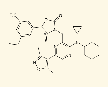 Cc1noc(C)c1-c1cnc(N(C2CCCCC2)C2CC2)c(CN2C(=O)OC(c3cc(CF)cc(C(F)(F)F)c3)[C@@H]2C)n1